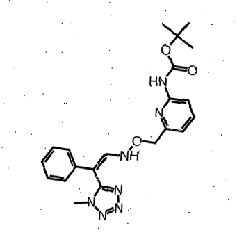 Cn1nnnc1C(=CNOCc1cccc(NC(=O)OC(C)(C)C)n1)c1ccccc1